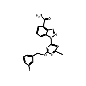 Cc1nc(NCc2cccc(F)c2)nc(-n2nnc3c(C(N)=O)cccc32)n1